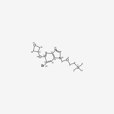 C[Si](C)(C)CCOCn1cnc2cc(OC3COC3)c(Br)cc21